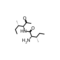 CC[C@H](C)[C@H](NC(=O)[C@H](N)[C@@H](C)CC)C(C)=O